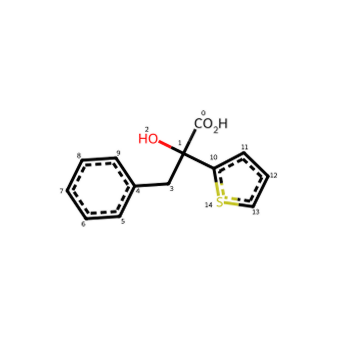 O=C(O)C(O)(Cc1ccccc1)c1cccs1